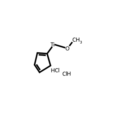 C[O][Ti][C]1=CC=CC1.Cl.Cl